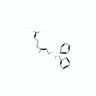 CC(C)=CCC/C(C)=C/CO[Si](c1ccccc1)(c1ccccc1)C(C)(C)C